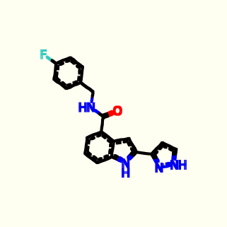 O=C(NCc1ccc(F)cc1)c1cccc2[nH]c(-c3cc[nH]n3)cc12